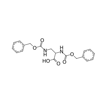 O=C(NCC(NC(=O)OCc1ccccc1)C(=O)O)OCc1ccccc1